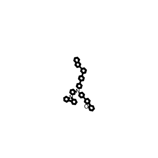 c1cc(-c2ccc(-c3ccc(N(c4ccc(-c5ccc6c(c5)oc5ccccc56)cc4)c4cccc(-n5c6ccccc6c6ccccc65)c4)cc3)cc2)cc(-c2ccc3ccccc3c2)c1